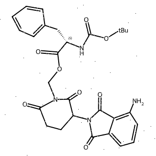 CC(C)(C)OC(=O)N[C@@H](Cc1ccccc1)C(=O)OCN1C(=O)CCC(N2C(=O)c3cccc(N)c3C2=O)C1=O